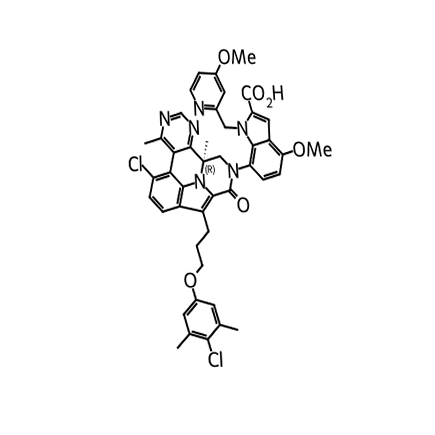 COc1ccnc(Cn2c(C(=O)O)cc3c(OC)ccc(N4C[C@]5(C)c6ncnc(C)c6-c6c(Cl)ccc7c(CCCOc8cc(C)c(Cl)c(C)c8)c(n5c67)C4=O)c32)c1